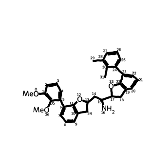 COc1cccc(-c2cccc3c2OC(CC(N)C2Cc4cccc(-c5cccc(C)c5C)c4O2)C3)c1OC